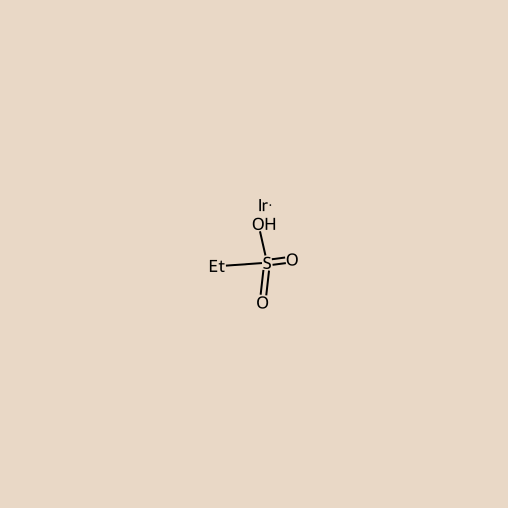 CCS(=O)(=O)O.[Ir]